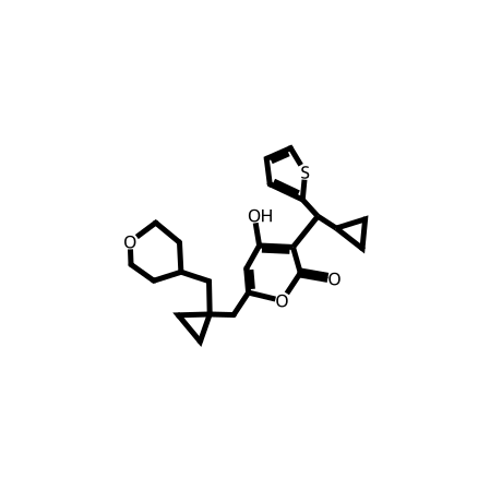 O=c1oc(CC2(CC3CCOCC3)CC2)cc(O)c1C(c1cccs1)C1CC1